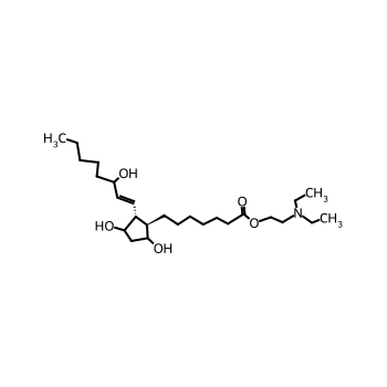 CCCCCC(O)C=C[C@H]1C(O)CC(O)[C@@H]1CCCCCCC(=O)OCCN(CC)CC